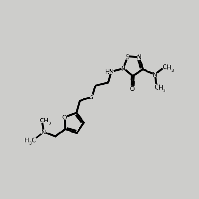 CN(C)Cc1ccc(CSCCNn2snc(N(C)C)c2=O)o1